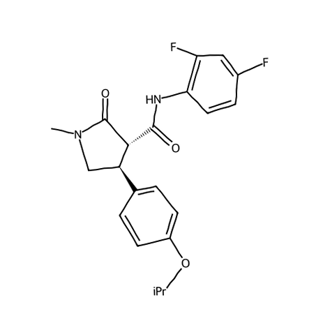 CC(C)Oc1ccc([C@H]2CN(C)C(=O)[C@@H]2C(=O)Nc2ccc(F)cc2F)cc1